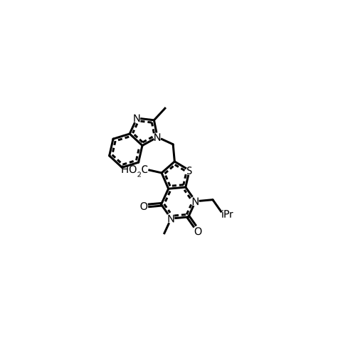 Cc1nc2ccccc2n1Cc1sc2c(c1C(=O)O)c(=O)n(C)c(=O)n2CC(C)C